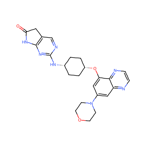 O=C1Cc2cnc(N[C@H]3CC[C@@H](Oc4cc(N5CCOCC5)cc5nccnc45)CC3)nc2N1